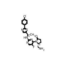 C[C@H](Nc1ncc(F)c(N2C(=O)CC[C@@H]2CN)n1)c1cnc(-c2ccc(Cl)cc2)s1